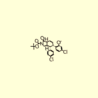 COc1cc(Cl)ccc1[C@@H]1C=C[C@@H]2C(=O)N(C(=O)OC(C)(C)C)C[C@H]2[C@H]1c1ccc(Cl)cc1